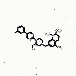 Cc1cc(CN2CCN(c3ncc(-c4cccc(F)c4)cn3)[C@H](CC(C)C)C2)cc2c1CCC(C(=O)O)N2C